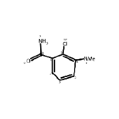 CNc1cccc(C(N)=O)c1Cl